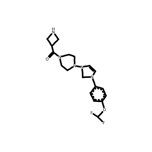 O=C(C1CNC1)N1CCN(N2C=CN(c3ccc(OC(F)F)cc3)C2)CC1